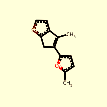 CC1=C(c2ccc(C)o2)Cc2sccc21